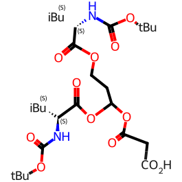 CC[C@H](C)[C@H](NC(=O)OC(C)(C)C)C(=O)OCCC(OC(=O)CC(=O)O)OC(=O)[C@@H](NC(=O)OC(C)(C)C)[C@@H](C)CC